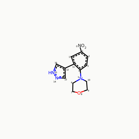 O=[N+]([O-])c1ccc(N2CCOCC2)c(-c2cn[nH]c2)c1